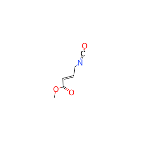 COC(=O)/C=C/CN=C=O